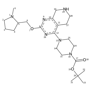 CN1CCCC1COc1nc2c(c(N3CCN(C(=O)OC(C)(C)C)CC3)n1)CCNC2